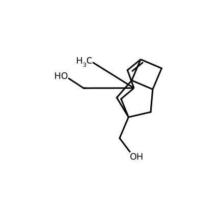 CC1(CO)C=C2CC3CC(CO)(CC23)C1